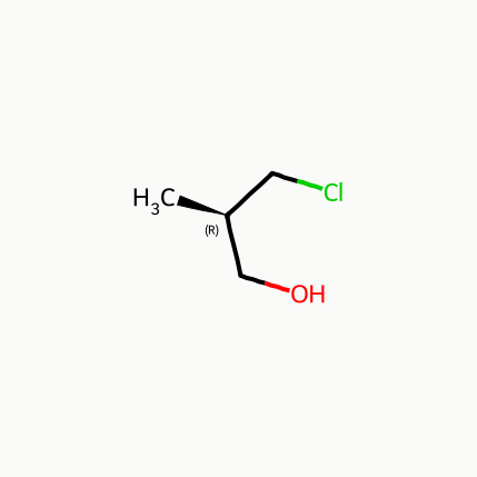 C[C@H](CO)CCl